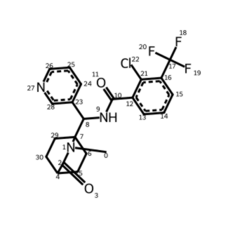 CN1C(=O)C2CCC1(C(NC(=O)c1cccc(C(F)(F)F)c1Cl)c1cccnc1)CC2